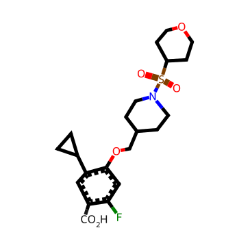 O=C(O)c1cc(C2CC2)c(OCC2CCN(S(=O)(=O)C3CCOCC3)CC2)cc1F